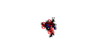 CCCC(C)OC(=O)Oc1ccc(CC(N)(C[C@H](C)OC(=O)O[C@@H](C)CCC)C(=O)OC)cc1OC(=O)OC(C)CCC